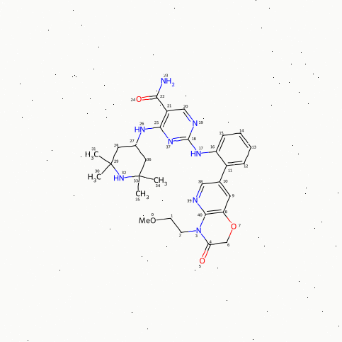 COCCN1C(=O)COc2cc(-c3ccccc3Nc3ncc(C(N)=O)c(NC4CC(C)(C)NC(C)(C)C4)n3)cnc21